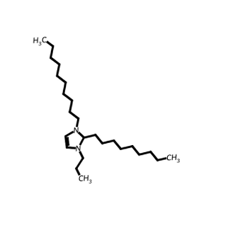 CCCCCCCCCCN1C=CN(CCC)C1CCCCCCCCC